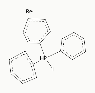 I[PH](c1ccccc1)(c1ccccc1)c1ccccc1.[Re]